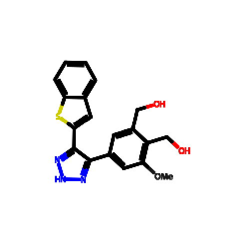 COc1cc(-c2n[nH]nc2-c2cc3ccccc3s2)cc(CO)c1CO